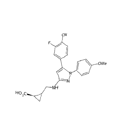 COc1ccc(-n2nc(NCC3C[C@H]3C(=O)O)cc2-c2ccc(C#N)c(F)c2)cc1